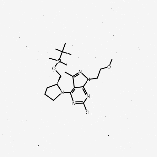 COCCn1nc(C)c2c(N3CCC[C@H]3CO[Si](C)(C)C(C)(C)C)nc(Cl)nc21